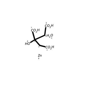 O.O=C(O)CC(O)(CC(=O)O)C(=O)O.[Zn]